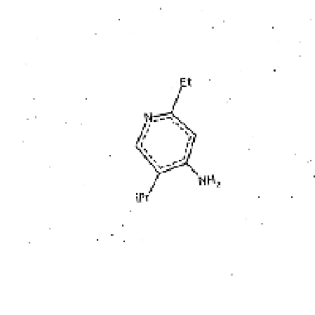 CCc1cc(N)c(C(C)C)cn1